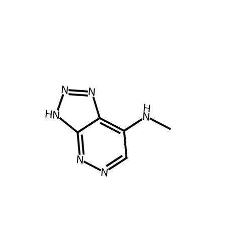 CNc1cnnc2[nH]nnc12